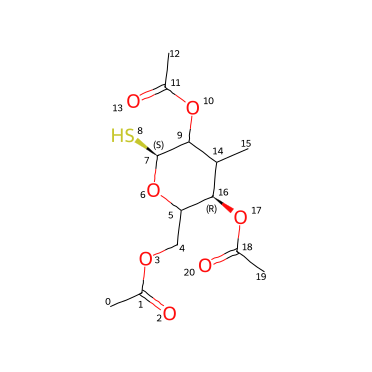 CC(=O)OCC1O[C@@H](S)C(OC(C)=O)C(C)[C@H]1OC(C)=O